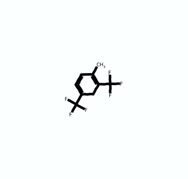 CC1=C(C(F)(F)F)CC(C(F)(F)F)=C=C1